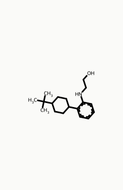 CC(C)(C)C1CCC(c2ccccc2NCCO)CC1